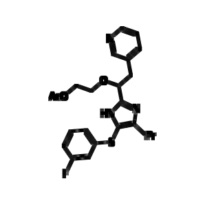 CC(=O)OCCOC(Cc1cccnc1)c1nc(C(C)C)c(Sc2cccc(F)c2)[nH]1